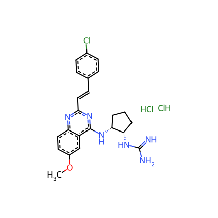 COc1ccc2nc(/C=C/c3ccc(Cl)cc3)nc(N[C@@H]3CCC[C@@H]3NC(=N)N)c2c1.Cl.Cl